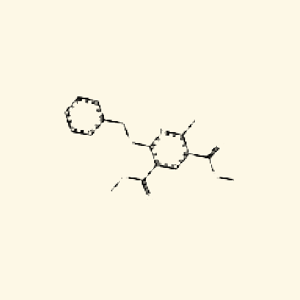 COC(=O)c1cc(C(=O)OC)c(OCc2ccccc2)nc1C